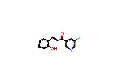 O=C(C=Cc1ccccc1O)c1cncc(F)c1